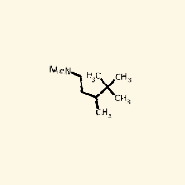 CNCCC(C)C(C)(C)C